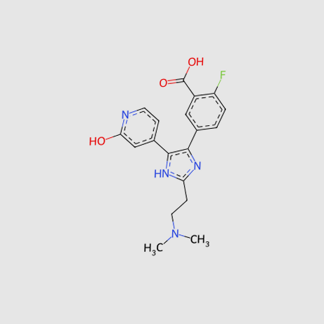 CN(C)CCc1nc(-c2ccc(F)c(C(=O)O)c2)c(-c2ccnc(O)c2)[nH]1